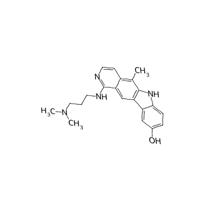 Cc1c2ccnc(NCCCN(C)C)c2cc2c1[nH]c1ccc(O)cc12